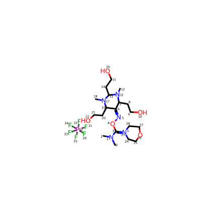 CN(C)C(ON=C1C(CCO)N(C)C(CCO)N(C)C1CCO)=[N+]1CCOCC1.F[P-](F)(F)(F)(F)F